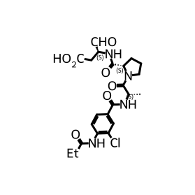 CCC(=O)Nc1ccc(C(=O)N[C@@H](C)C(=O)N2CCC[C@H]2C(=O)N[C@H](C=O)CC(=O)O)cc1Cl